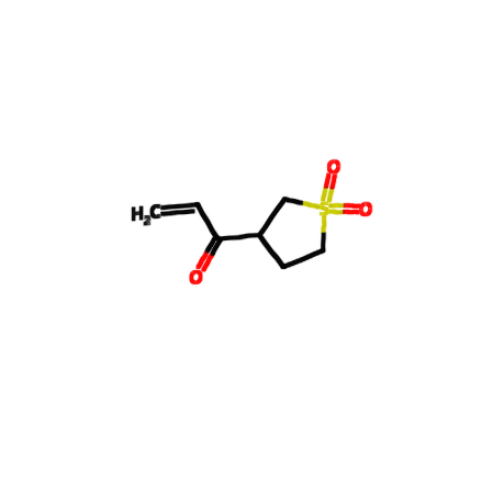 C=CC(=O)C1CCS(=O)(=O)C1